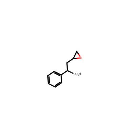 O=S(=O)(O)C(CC1CO1)c1ccccc1